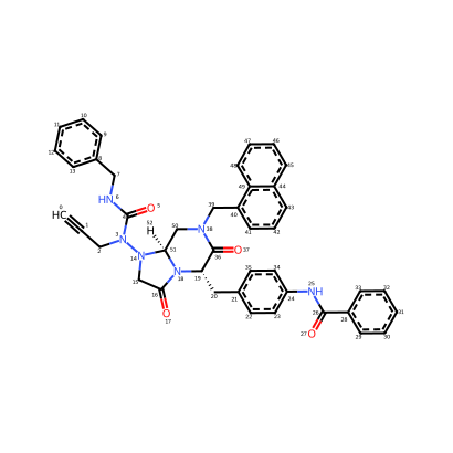 C#CCN(C(=O)NCc1ccccc1)N1CC(=O)N2[C@@H](Cc3ccc(NC(=O)c4ccccc4)cc3)C(=O)N(Cc3cccc4ccccc34)C[C@@H]21